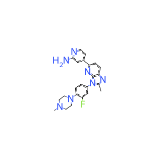 Cc1nc2ccc(-c3ccnc(N)c3)nc2n1-c1ccc(N2CCN(C)CC2)c(F)c1